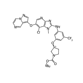 Cn1c(Nc2cc(O[C@H]3CCN(C(=O)OC(C)(C)C)C3)cc(C(F)(F)F)c2)nc2ncc(Oc3cnn4ccncc34)c(Cl)c21